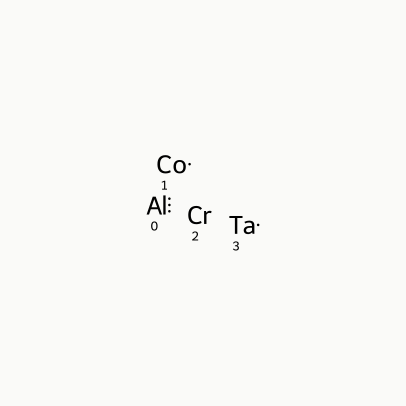 [Al].[Co].[Cr].[Ta]